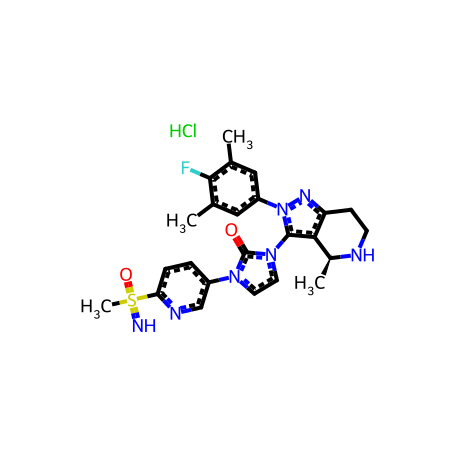 Cc1cc(-n2nc3c(c2-n2ccn(-c4ccc(S(C)(=N)=O)nc4)c2=O)[C@H](C)NCC3)cc(C)c1F.Cl